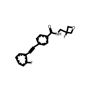 O=C(NCC1(F)COC1)c1ccc(C#Cc2ccccc2F)cc1